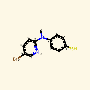 CN(c1ccc(S)cc1)c1ccc(Br)cn1